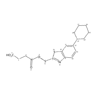 O=C(O)CCC(=O)OSc1nc2ccc(C3CCCCC3)cc2s1